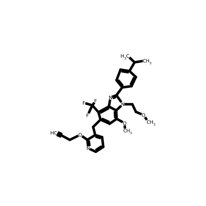 C#CCOc1ncccc1Cc1cc(OC)c2c(nc(-c3ccc(C(C)C)cc3)n2CCOC)c1C(F)(F)F